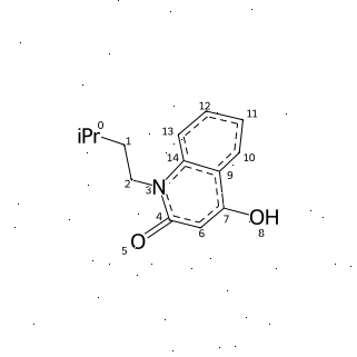 CC(C)CCn1c(=O)cc(O)c2ccccc21